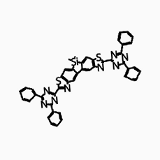 C[Si]1(C)c2cc3sc(-c4nc(-c5ccccc5)nc(-c5ccccc5)n4)nc3cc2-c2cc3nc(-c4nc(-c5ccccc5)nc(-c5ccccc5)n4)sc3cc21